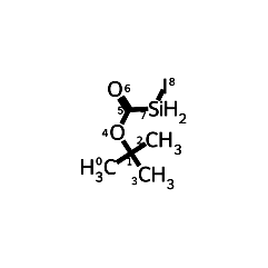 CC(C)(C)OC(=O)[SiH2]I